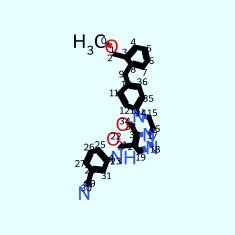 COCc1ccccc1Cc1ccc(N2CCn3ncc(C(=O)Nc4cccc(C#N)c4)c3C2=O)cc1